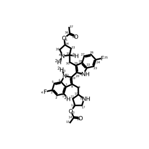 [2H]c1cc(F)cc2c1c(CC1CC(OC(C)=O)CN1)c(-c1[nH]c3cc(F)ccc3c1CC1([2H])CC(OC(C)=O)CN1[2H])n2[2H]